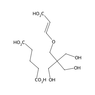 O=C(O)C=COCC(CO)(CO)CO.O=C(O)CCCC(=O)O